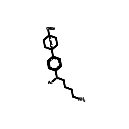 COC12CCC(c3ccc(N([CH]CCCN)C(C)=O)cc3)(CC1)CC2